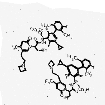 CCOC(=O)C[C@H](NC(=O)C(CC(C)C)n1cc(CCN2CCC2)c(C(F)(F)F)cc1=O)c1c(F)c(-c2c(C)ccc(F)c2C)cc(C2CC2)c1F.Cc1ccc(F)c(C)c1-c1cc(C2CC2)c(F)c([C@H](CC(=O)O)NC(=O)C(CC(C)C)n2cc(CCN3CCC3)c(C(F)(F)F)cc2=O)c1F